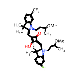 COC(C)CCN1/C(=C\C2=C(O)C(=C\C3=[N+](CCC(C)OC)c4cc(F)ccc4C3(C)C)/C2=O)C(C)(C)c2ccc(C(F)(F)F)cc21